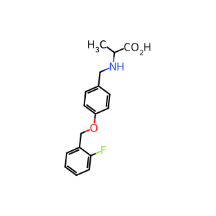 CC(NCc1ccc(OCc2ccccc2F)cc1)C(=O)O